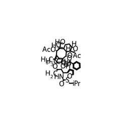 C=C(O[C@H]1C[C@@]2(O)[C@@H](OC(=O)c3ccccc3)[C@@H]3[C@]4(OC(C)=O)CO[C@@H]4C[C@H](O)[C@@]3(C)C(=O)[C@H](OC(C)=O)C(=C1C)C2(C)C)[C@H](O)[C@@H](NC(=O)SCC(C)C)c1ccco1